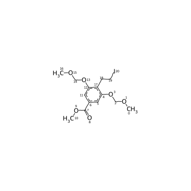 COCOc1cc(C(=O)OC)cc(OCOC)c1CCI